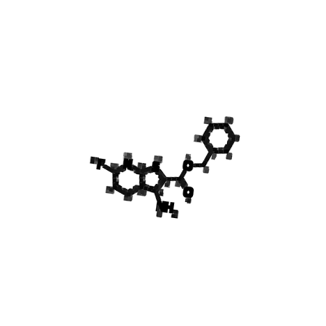 Nc1c(C(=O)OCc2ccccc2)sc2nc(F)ccc12